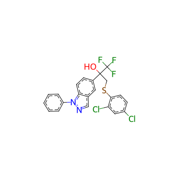 OC(CSc1ccc(Cl)cc1Cl)(c1ccc2c(cnn2-c2ccccc2)c1)C(F)(F)F